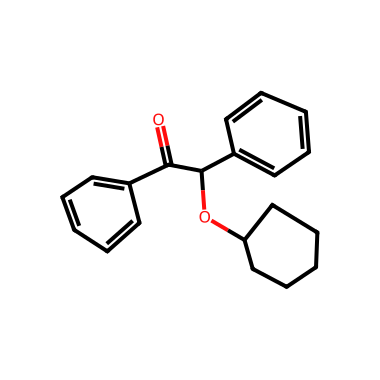 O=C(c1ccccc1)C(OC1CCCCC1)c1ccccc1